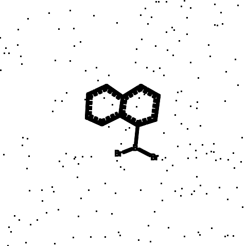 BrB(Br)c1cccc2ccccc12